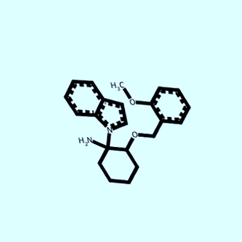 COc1ccccc1COC1CCCCC1(N)n1ccc2ccccc21